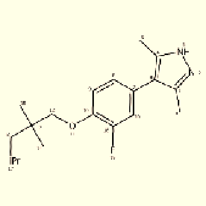 Cc1n[nH]c(C)c1-c1ccc(OCC(C)(C)CC(C)C)c(F)c1